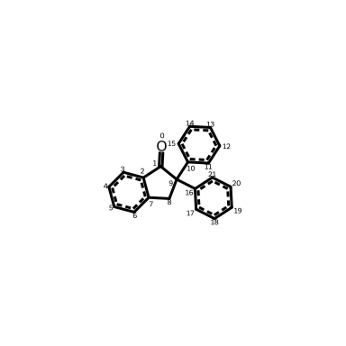 O=C1c2ccccc2CC1(c1ccccc1)c1ccccc1